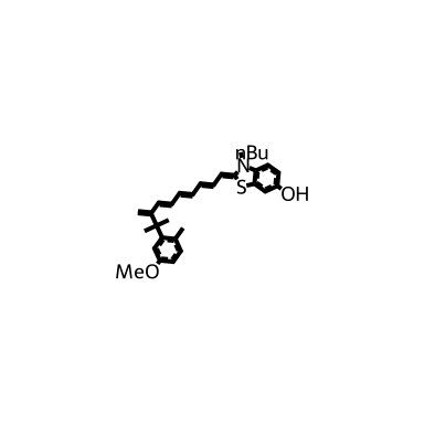 C=C(/C=C/C=C/C=C/C=C1\Sc2cc(O)ccc2N1CCCC)C(C)(C)c1cc(OC)ccc1C